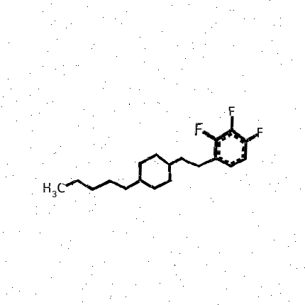 CCCCCC1CCC(CCc2ccc(F)c(F)c2F)CC1